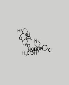 CC1CN(CCC[C@@H]2[C@@H]3CCCNC3COC3CC[C@H](OCC(C)(C)O)C[C@@H]32)CCC1(O)[C@H]1CC[C@@H](Cl)CC1